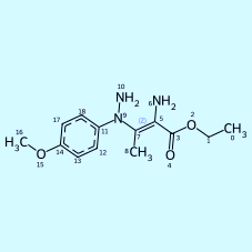 CCOC(=O)/C(N)=C(\C)N(N)c1ccc(OC)cc1